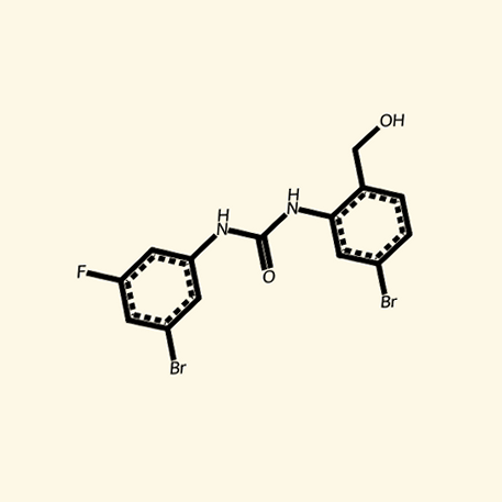 O=C(Nc1cc(F)cc(Br)c1)Nc1cc(Br)ccc1CO